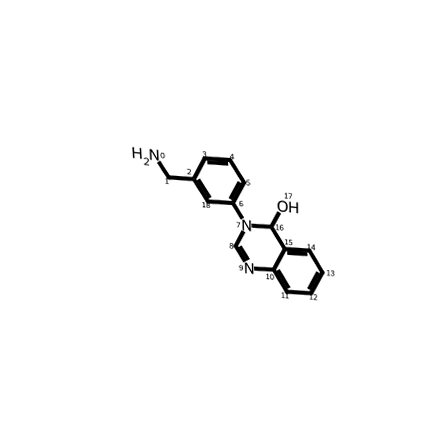 NCc1cccc(N2C=Nc3ccccc3C2O)c1